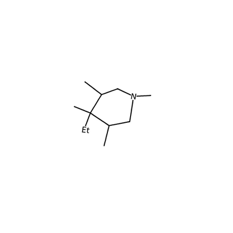 CCC1(C)C(C)CN(C)CC1C